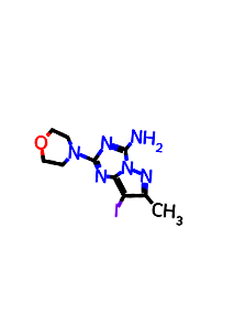 Cc1nn2c(N)nc(N3CCOCC3)nc2c1I